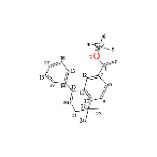 C=C(O[Si](C)(C)C)c1ccc2c(c1)C(c1ccccc1)=CCC2(C)C